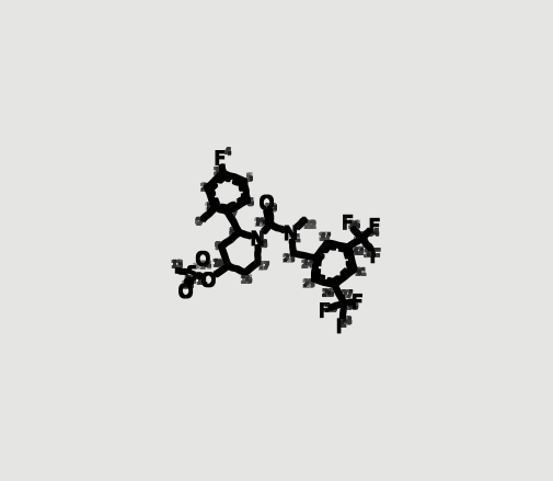 Cc1cc(F)ccc1C1CC(OS(C)(=O)=O)CCN1C(=O)N(C)Cc1cc(C(F)(F)F)cc(C(F)(F)F)c1